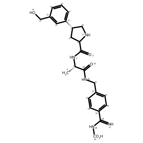 C[C@H](NC(=O)C1C[C@H](c2cccc(CO)c2)CN1)C(=O)NCc1ccc(C(=N)NC(=O)O)cc1